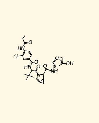 CCC(=O)Nc1ccc(C(=O)NC(C(=O)N2C=C3CC3C2C(=O)N[C@H](C=O)CC(=O)O)C(C)(C)C)cc1Cl